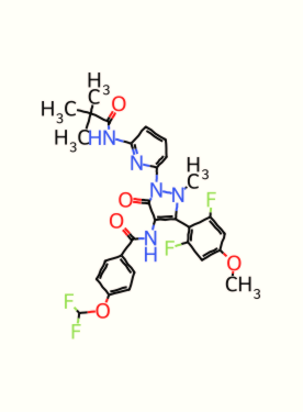 COc1cc(F)c(-c2c(NC(=O)c3ccc(OC(F)F)cc3)c(=O)n(-c3cccc(NC(=O)C(C)(C)C)n3)n2C)c(F)c1